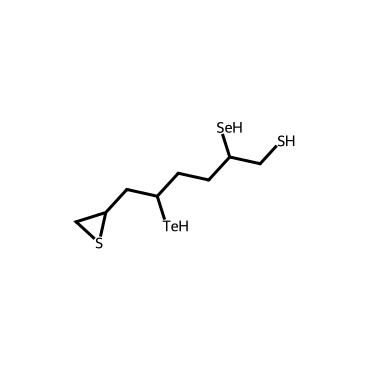 SCC([SeH])CCC([TeH])CC1CS1